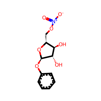 O=[N+]([O-])OC[C@H]1O[C@H](Oc2ccccc2)[C@@H](O)[C@@H]1O